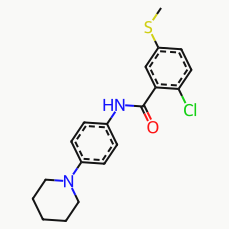 CSc1ccc(Cl)c(C(=O)Nc2ccc(N3CCCCC3)cc2)c1